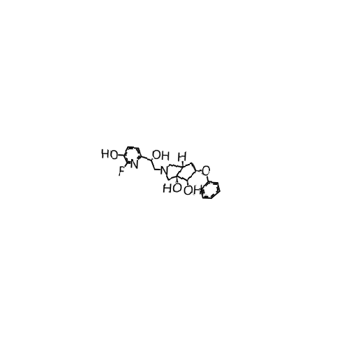 Oc1ccc([C@H](O)CN2C[C@@H]3C[C@@H](Oc4ccccc4)[C@@H](O)[C@]3(O)C2)nc1F